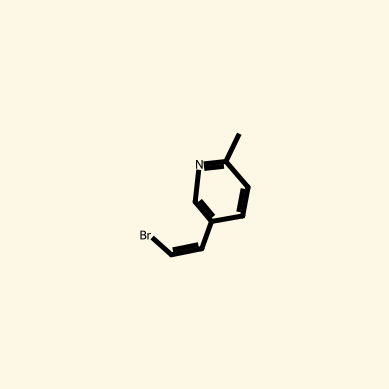 Cc1ccc(/C=C\Br)cn1